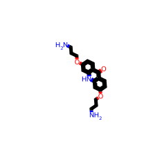 NCCCOc1ccc2c(=O)c3ccc(OCCCN)cc3[nH]c2c1